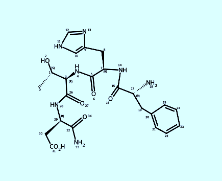 C[C@H](O)[C@@H](NC(=O)[C@@H](Cc1c[nH]cn1)NC(=O)[C@H](N)Cc1ccccc1)C(=O)N[C@H](CC(=O)O)C(N)=O